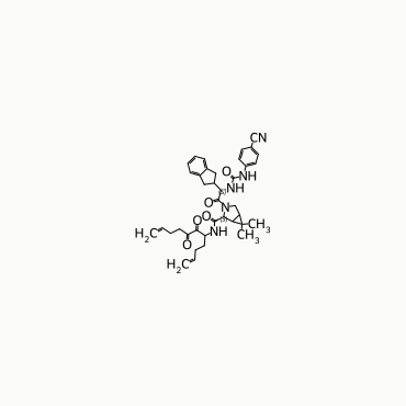 C=CCCC(=O)C(=O)C(CCC=C)NC(=O)[C@@H]1C2C(CN1C(=O)[C@@H](NC(=O)Nc1ccc(C#N)cc1)C1Cc3ccccc3C1)C2(C)C